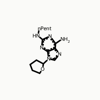 CCCCCNc1nc(N)c2ncn(C3CCCCO3)c2n1